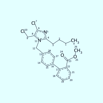 CCCCc1nc(Cl)c(CCl)n1Cc1ccc(-c2ccccc2C(=O)OC)cc1